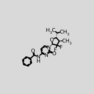 CC(C)[C@H]1O[C@@H](n2ccc(NC(=O)c3ccccc3)nc2=O)C(F)(F)[C@@H]1C